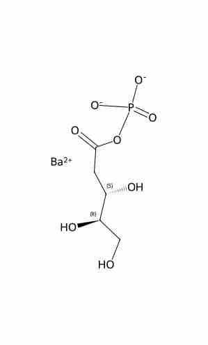 O=C(C[C@H](O)[C@H](O)CO)OP(=O)([O-])[O-].[Ba+2]